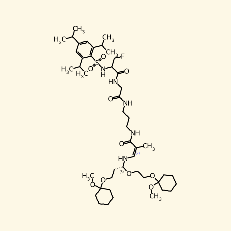 COC1(OCCO[C@H](CCOC2(OC)CCCCC2)N/C=C(/C)C(=O)NCCCNC(=O)CNC(=O)C(CF)NS(=O)(=O)c2c(C(C)C)cc(C(C)C)cc2C(C)C)CCCCC1